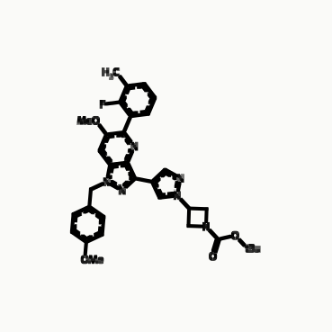 COc1ccc(Cn2nc(-c3cnn(C4CN(C(=O)OC(C)(C)C)C4)c3)c3nc(-c4cccc(C)c4F)c(OC)cc32)cc1